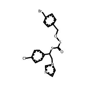 O=C(SOCc1ccc(Br)cc1)SC(Cn1ccnc1)c1ccc(Cl)cc1